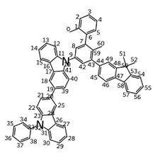 Cc1ccccc1-c1cc(-n2c3ccccc3c3cc(-c4ccc5c(c4)c4ccccc4n5-c4ccccc4)ccc32)cc(-c2ccc3c(c2)C(C)(C)c2ccccc2-3)c1C